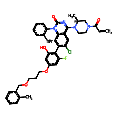 C=CC(=O)N1CCN(c2nc(=O)n(-c3ccccc3CCC)c3cc(-c4c(O)cc(OCCCOCc5ccccc5C)cc4F)c(Cl)cc23)[C@@H](C)C1